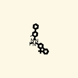 C[C@H]1C=C(c2ccccc2)C=CC1c1nc(I)nc(-c2ccc3c(c2)C(C)(C)c2ccccc2-3)n1